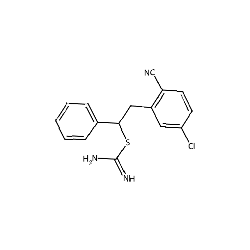 N#Cc1ccc(Cl)cc1CC(SC(=N)N)c1ccccc1